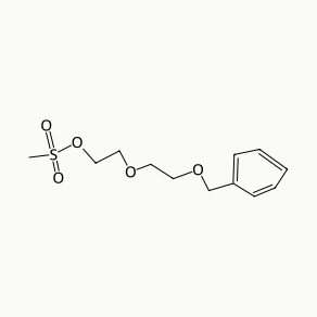 CS(=O)(=O)OCCOCCOCc1ccccc1